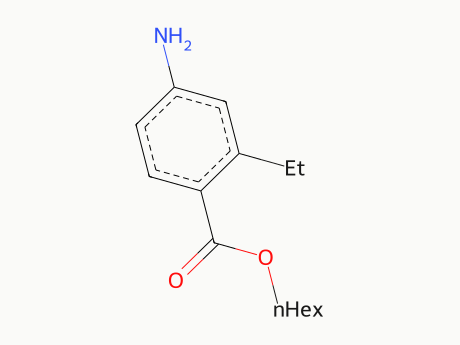 CCCCCCOC(=O)c1ccc(N)cc1CC